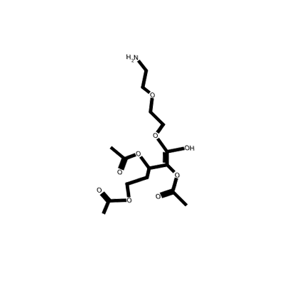 CC(=O)OCCC(OC(C)=O)/C(OC(C)=O)=C(/O)OCCOCCN